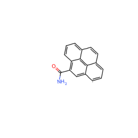 NC(=O)c1cc2[c]ccc3ccc4cccc1c4c23